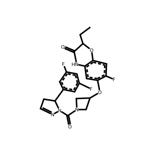 CCC1Oc2cc(F)c(OC3CN(C(=O)N4N=CCC4c4cc(F)cc(F)c4)C3)cc2NC1=O